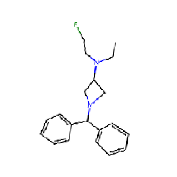 CCN(CCF)C1CN(C(c2ccccc2)c2ccccc2)C1